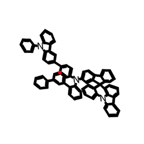 c1ccc(-c2cccc(-c3ccccc3N(c3ccc(-c4ccc5c(c4)c4ccccc4n5-c4ccccc4)cc3)c3ccc4c(c3)C3(c5ccccc5-4)c4ccccc4-n4c5ccccc5c5cccc3c54)c2)cc1